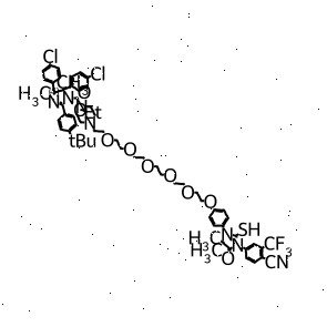 CCOc1cc(C(C)(C)C)ccc1C1=N[C@@](C)(c2ccc(Cl)cc2)C(C)(c2ccc(Cl)cc2)N1C(=O)N1CCN(CCOCCOCCOCCOCCOCCOc2ccc(N3C(S)N(c4ccc(C#N)c(C(F)(F)F)c4)C(=O)C3(C)C)cc2)CC1